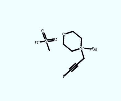 CCCC[N+]1(CC#CI)CCOCC1.CS(=O)(=O)[O-]